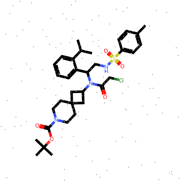 Cc1ccc(S(=O)(=O)NCC(c2ccccc2C(C)C)N(C(=O)CCl)C2CC3(CCN(C(=O)OC(C)(C)C)CC3)C2)cc1